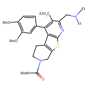 CCOC(=O)c1c(CN(CC)CC)nc2sc3c(c2c1-c1ccc(OC)c(OC)c1)CCN(C(=O)NC)C3